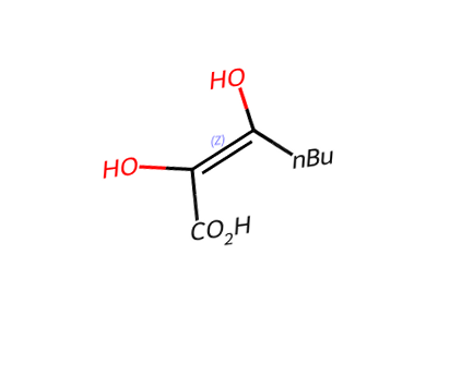 CCCC/C(O)=C(/O)C(=O)O